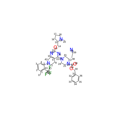 Cc1cccc(N2CCc3c(nc(OCC4CCCN4C)nc3N3CCN(C(=O)OCc4ccccc4)[C@@H](CC#N)C3)C2)c1C(F)(F)F